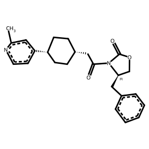 Cc1cc([C@H]2CC[C@@H](CC(=O)N3C(=O)OC[C@H]3Cc3ccccc3)CC2)ccn1